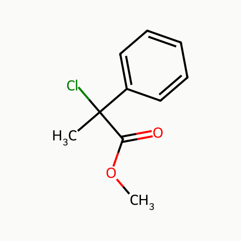 COC(=O)C(C)(Cl)c1ccccc1